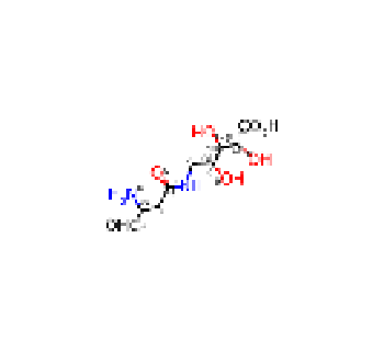 N[C@H](C=O)CC(=O)NC[C@H](O)[C@@H](O)[C@@H](O)C(=O)O